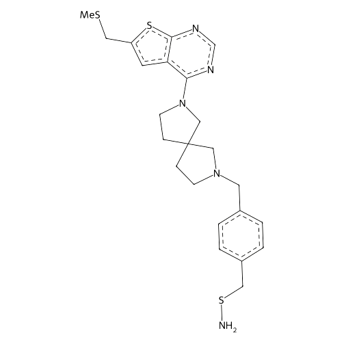 CSCc1cc2c(N3CCC4(CCN(Cc5ccc(CSN)cc5)C4)C3)ncnc2s1